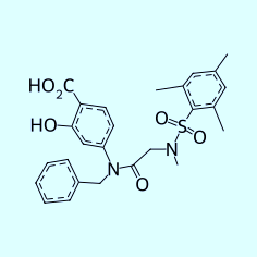 Cc1cc(C)c(S(=O)(=O)N(C)CC(=O)N(Cc2ccccc2)c2ccc(C(=O)O)c(O)c2)c(C)c1